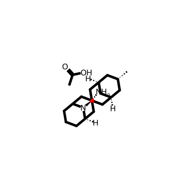 CC(=O)O.C[C@@H]1C[C@@H]2C[C@H](C1)C[C@H](N1C3CCC[C@@H]1C[C@@H](N)C3)C2